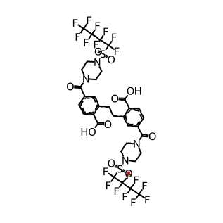 O=C(O)c1ccc(C(=O)N2CCN(S(=O)(=O)C(F)(F)C(F)(F)C(F)(F)C(F)(F)F)CC2)cc1CCc1cc(C(=O)N2CCN(S(=O)(=O)C(F)(F)C(F)(F)C(F)(F)C(F)(F)F)CC2)ccc1C(=O)O